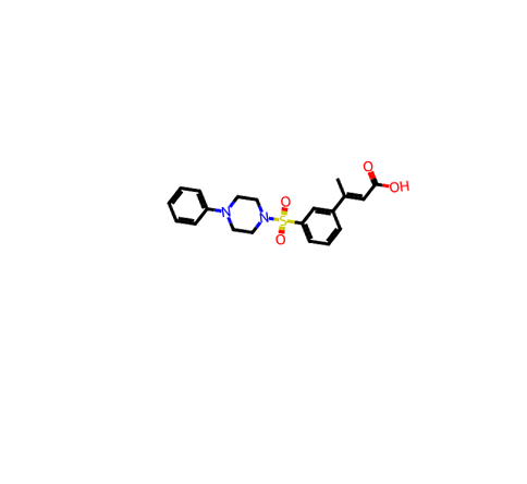 C/C(=C\C(=O)O)c1cccc(S(=O)(=O)N2CCN(c3ccccc3)CC2)c1